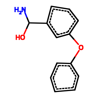 NC(O)c1cccc(Oc2ccccc2)c1